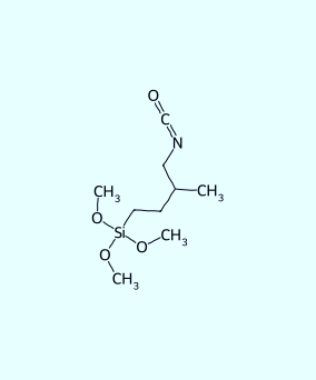 CO[Si](CCC(C)CN=C=O)(OC)OC